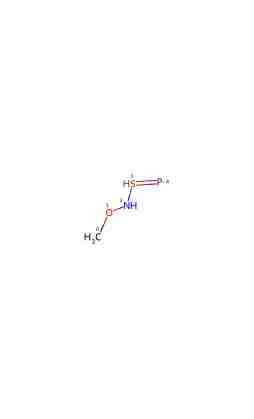 CON[SH]=[P]